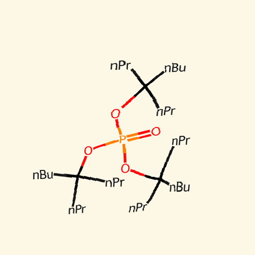 CCCCC(CCC)(CCC)OP(=O)(OC(CCC)(CCC)CCCC)OC(CCC)(CCC)CCCC